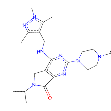 CC(=O)N1CCN(c2nc(NCc3c(C)nn(C)c3C)c3c(n2)C(=O)N(C(C)C)C3)CC1